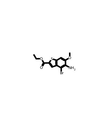 CCOC(=O)c1cc2c(Br)c(N)c(OC)cc2s1